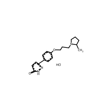 CC1CCCN1CCCOc1ccc(-c2ccc(=O)[nH]n2)cc1.Cl